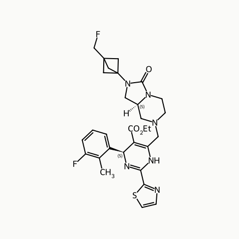 CCOC(=O)C1=C(CN2CCN3C(=O)N(C45CC(CF)(C4)C5)C[C@@H]3C2)NC(c2nccs2)=N[C@H]1c1cccc(F)c1C